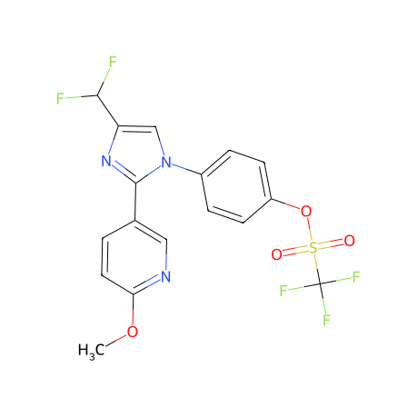 COc1ccc(-c2nc(C(F)F)cn2-c2ccc(OS(=O)(=O)C(F)(F)F)cc2)cn1